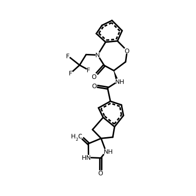 C=C1NC(=O)NC12Cc1ccc(C(=O)N[C@@H]3COc4ccccc4N(CC(F)(F)F)C3=O)cc1C2